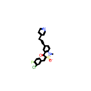 CN1c2ccc(C#CCc3ccncc3)cc2C(=O)/C(=C\c2ccc(F)c(Cl)c2)[S+]1[O-]